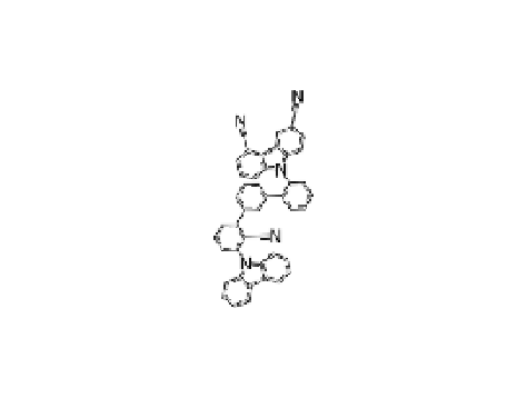 N#Cc1ccc2c(c1)c1c(C#N)cccc1n2-c1ccccc1-c1cccc(-c2cccc(-n3c4ccccc4c4ccccc43)c2C#N)c1